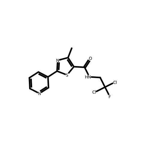 Cc1nc(-c2cccnc2)sc1C(=O)NCC(F)(Cl)Cl